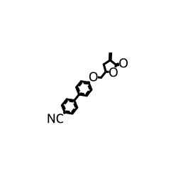 C=C1CC(COc2ccc(-c3ccc(C#N)cc3)cc2)OC1=O